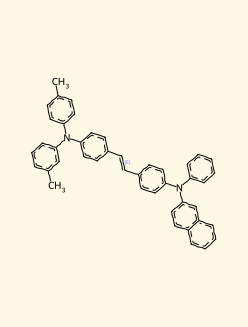 Cc1ccc(N(c2ccc(/C=C/c3ccc(N(c4ccccc4)c4ccc5ccccc5c4)cc3)cc2)c2cccc(C)c2)cc1